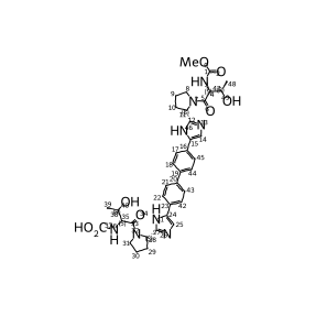 COC(=O)N[C@H](C(=O)N1CCC[C@H]1c1ncc(-c2ccc(-c3ccc(-c4cnc([C@@H]5CCCN5C(=O)[C@@H](NC(=O)O)[C@@H](C)O)[nH]4)cc3)cc2)[nH]1)[C@@H](C)O